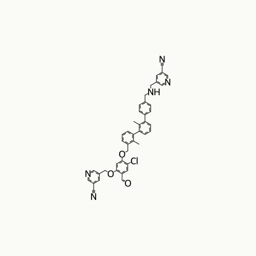 Cc1c(COc2cc(OCc3cncc(C#N)c3)c(C=O)cc2Cl)cccc1-c1cccc(-c2ccc(CNCc3cncc(C#N)c3)cc2)c1C